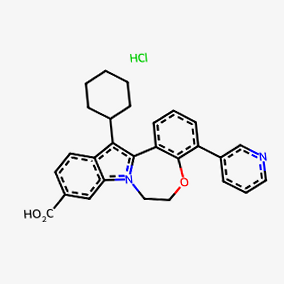 Cl.O=C(O)c1ccc2c(C3CCCCC3)c3n(c2c1)CCOc1c(-c2cccnc2)cccc1-3